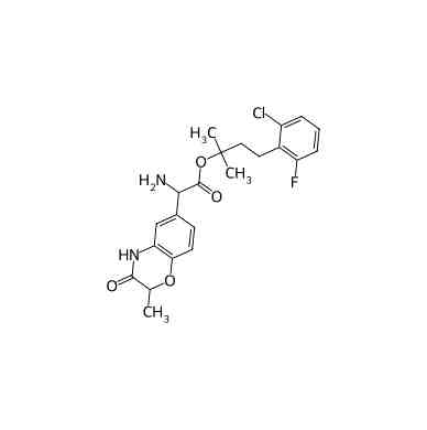 CC1Oc2ccc(C(N)C(=O)OC(C)(C)CCc3c(F)cccc3Cl)cc2NC1=O